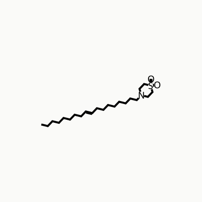 CCCCCCCCC=CCCCCCCCCN1CCS(=O)(=O)CC1